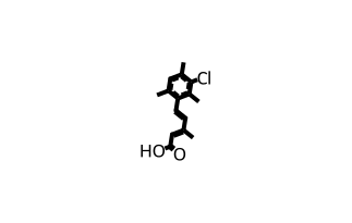 CC(C=Cc1c(C)cc(C)c(Cl)c1C)=CC(=O)O